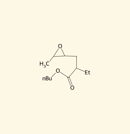 CCCCOC(=O)C(CC)CC1OC1C